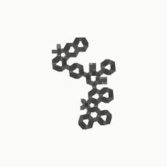 CC1(C)c2cc3ccccc3cc2-c2c(-c3ccc(C4=CC(c5cc6c(c7ccccc57)-c5c(c7ccccc7c7ccccc57)C6(C)C)NC(c5ccccc5)N4)cc3)cccc21